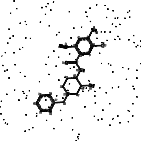 COc1cc(N)c(Cl)cc1C(=O)NC1CCN(Cc2ccccn2)CC1O